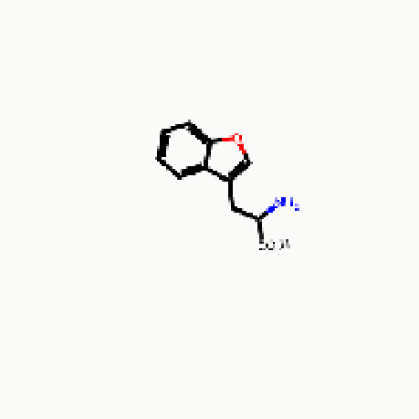 NC(Cc1coc2ccccc12)C(=O)O